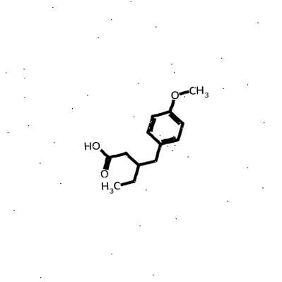 CCC(CC(=O)O)Cc1ccc(OC)cc1